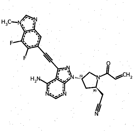 C=CC(=O)N1C[C@@H](n2nc(C#Cc3cc4ncn(C)c4c(F)c3F)c3c(N)ncnc32)C[C@@H]1CC#N